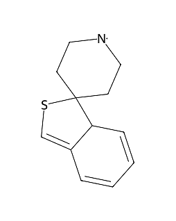 C1=CC2=CSC3(CC[N]CC3)C2C=C1